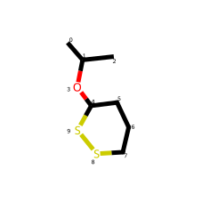 CC(C)OC1CCCSS1